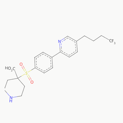 O=C(O)C1(S(=O)(=O)c2ccc(-c3ccc(CCCC(F)(F)F)cn3)cc2)CCNCC1